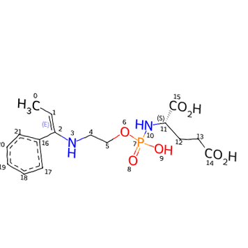 C/C=C(/NCCOP(=O)(O)N[C@@H](CCC(=O)O)C(=O)O)c1ccccc1